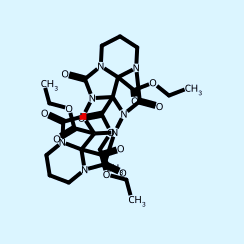 CCOC(=O)C12N3CCCN1C(=O)N1N4C(=O)N5CCCN6C(=O)N(N(C3=O)C12C(=O)OCC)C4(C(=O)OCC)C65C(=O)OCC